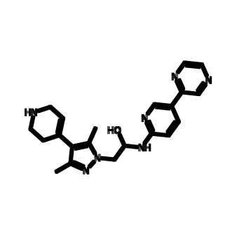 Cc1nn(CC(O)Nc2ccc(-c3cnccn3)cn2)c(C)c1C1=CCNCC1